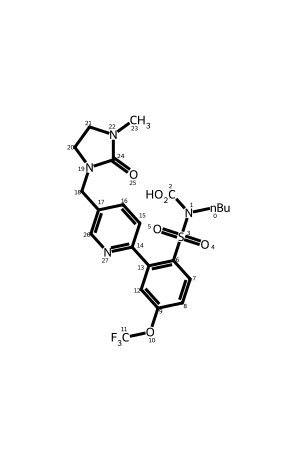 CCCCN(C(=O)O)S(=O)(=O)c1ccc(OC(F)(F)F)cc1-c1ccc(CN2CCN(C)C2=O)cn1